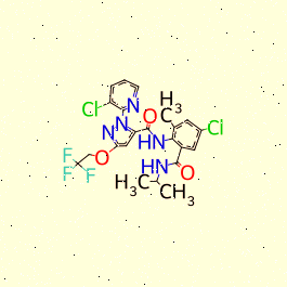 Cc1cc(Cl)cc(C(=O)NC(C)C)c1NC(=O)c1cc(OCC(F)(F)F)nn1-c1ncccc1Cl